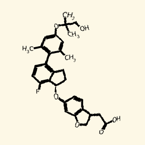 Cc1cc(OC(C)(C)CO)cc(C)c1-c1ccc(F)c2c1CC[C@H]2Oc1ccc2c(c1)OCC2CC(=O)O